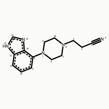 N#CCCN1CCN(c2cccc3[nH]cnc23)CC1